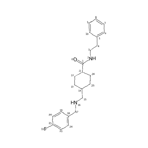 O=C(NCCc1ccccc1)C1CCC(CNCc2ccc(F)cc2)CC1